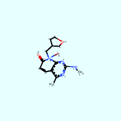 CNc1nc(C)c2c(n1)[N+](Br)(CC1CCOC1)C(=O)C=C2